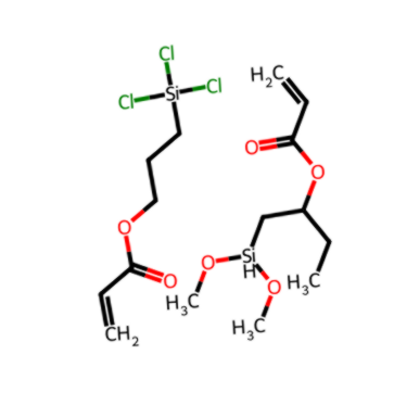 C=CC(=O)OC(CC)C[SiH](OC)OC.C=CC(=O)OCCC[Si](Cl)(Cl)Cl